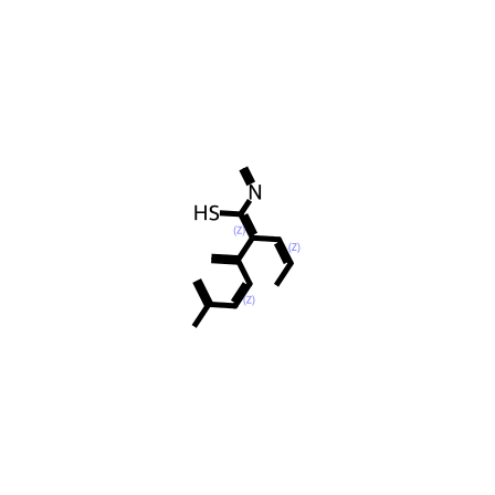 C=N/C(S)=C(\C=C/C)C(=C)/C=C\C(=C)C